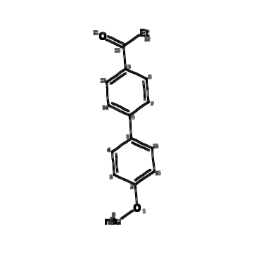 CCCCOc1ccc(-c2ccc(C(=O)CC)cc2)cc1